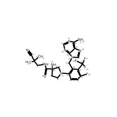 CC(C)(C#N)CNC(=O)[C@@]1(N)CCN(c2ccc(F)c(C(F)(F)F)c2Cn2cnc3c(N)ncnc32)C1